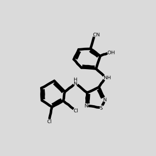 N#Cc1cccc(Nc2nsnc2Nc2cccc(Cl)c2Cl)c1O